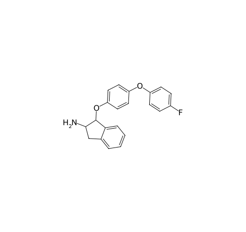 NC1Cc2ccccc2C1Oc1ccc(Oc2ccc(F)cc2)cc1